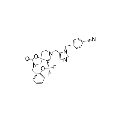 N#Cc1ccc(Cn2cncc2CN2CCC3(CC2)CN(Cc2ccccc2OC(F)(F)F)C(=O)O3)cc1